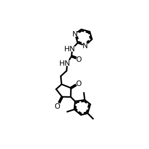 Cc1cc(C)c(C2C(=O)CC(CCNC(=O)Nc3ncccn3)C2=O)c(C)c1